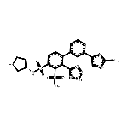 Nc1nc(-c2cccc(-c3ccc(S(=O)(=O)N[C@H]4CCNC4)c(S(N)(=O)=O)c3-c3nn[nH]n3)c2)c[nH]1